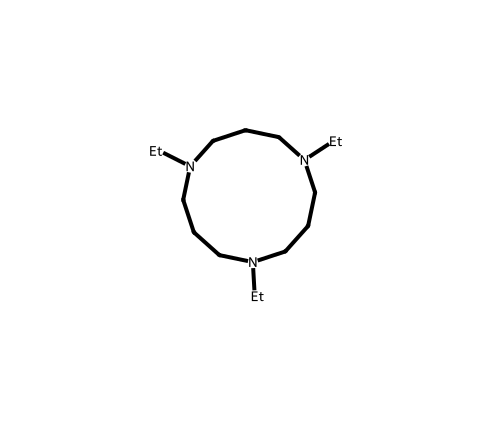 CCN1CCCN(CC)CCCN(CC)CCC1